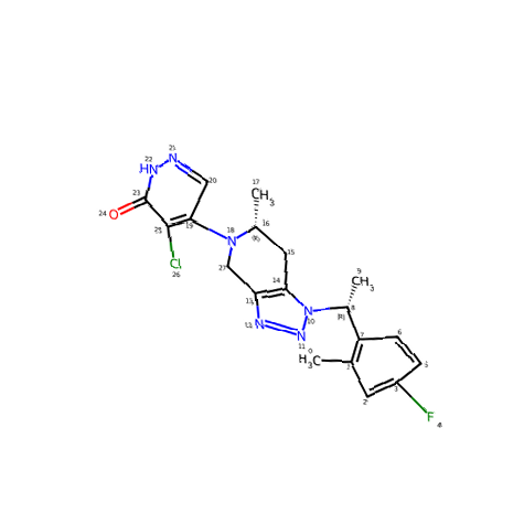 Cc1cc(F)ccc1[C@@H](C)n1nnc2c1C[C@@H](C)N(c1cn[nH]c(=O)c1Cl)C2